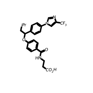 CC(C)CC(Oc1ccc(C(=O)NCCC(=O)O)cc1)c1ccc(-n2cnc(C(F)(F)F)c2)cc1